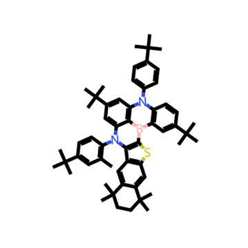 Cc1cc(C(C)(C)C)ccc1N1c2cc(C(C)(C)C)cc3c2B(c2cc(C(C)(C)C)ccc2N3c2ccc(C(C)(C)C)cc2)c2sc3cc4c(cc3c21)C(C)(C)CCC4(C)C